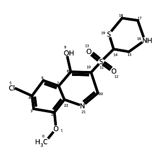 COc1cc(Cl)cc2c(O)c(S(=O)(=O)C3CNCCS3)cnc12